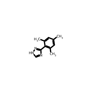 Cc1cc(C)c(-c2nc[nH]n2)c(C)c1